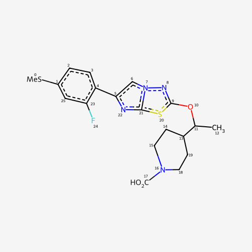 CSc1ccc(-c2cn3nc(OC(C)C4CCN(C(=O)O)CC4)sc3n2)c(F)c1